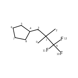 CC(C)([CH]C1CCCC1)C(F)(F)F